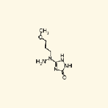 COCCCN(N)c1nc(=O)[nH][nH]1